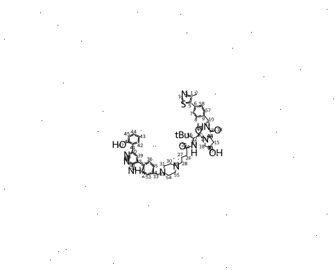 Cc1ncsc1-c1ccc(CNC(=O)[C@@H]2C[C@@H](O)CN2C(=O)C(NC(=O)CCCN2CCN(Cc3ccc(-c4cc(-c5ccccc5O)nnc4N)cc3)CC2)C(C)(C)C)cc1